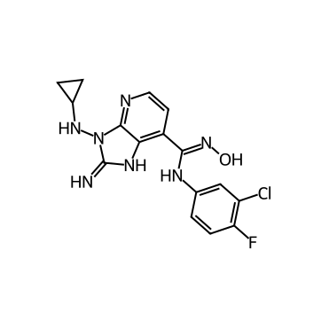 N=c1[nH]c2c(/C(=N/O)Nc3ccc(F)c(Cl)c3)ccnc2n1NC1CC1